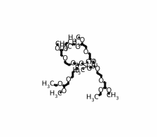 CCOC(COCCOB(OCCOCC(OC)OCC)O[Si](C)(C)OB(OCCOCC(OC)OCC)OCCOCC(OC)OCC)OC